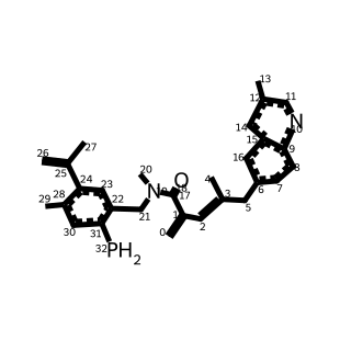 C=C(/C=C(\C)Cc1ccc2ncc(C)cc2c1)C(=O)N(C)Cc1cc(C(=C)C)c(C)cc1P